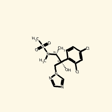 C[C@@H](N(C)S(C)(=O)=O)[C@](O)(Cn1cncn1)c1ccc(Cl)cc1Cl